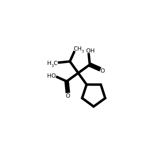 CC(C)C(C(=O)O)(C(=O)O)C1CCCC1